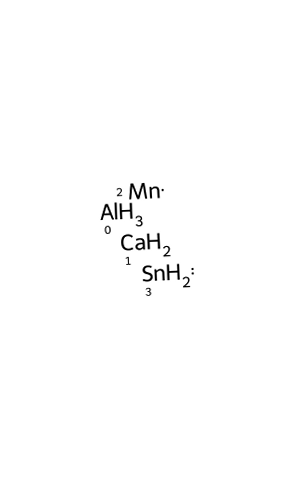 [AlH3].[CaH2].[Mn].[SnH2]